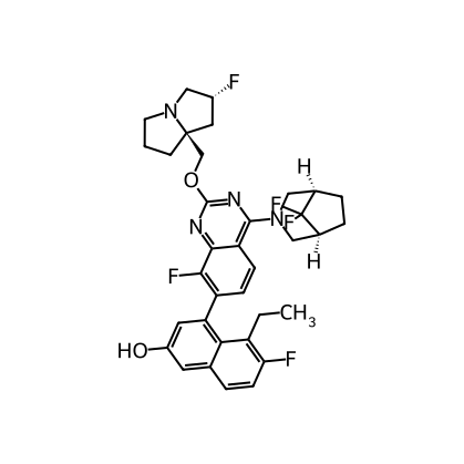 CCc1c(F)ccc2cc(O)cc(-c3ccc4c(N5C[C@H]6CC[C@@H](C5)C6(F)F)nc(OC[C@@]56CCCN5C[C@H](F)C6)nc4c3F)c12